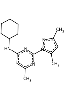 Cc1cc(NC2CCCCC2)nc(-n2nc(C)cc2C)n1